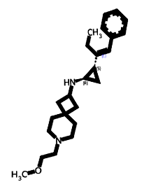 CC/C(=C\c1ccccc1)[C@@H]1C[C@H]1NC1CC2(CCN(CCOC)CC2)C1